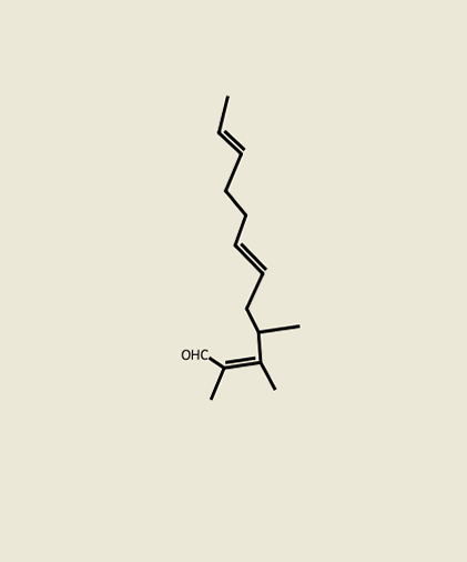 CC=CCCC=CCC(C)C(C)=C(C)C=O